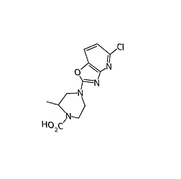 CC1CN(c2nc3nc(Cl)ccc3o2)CCN1C(=O)O